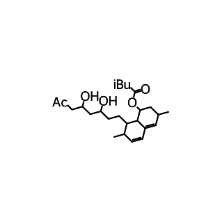 CCC(C)C(=O)OC1CC(C)C=C2C=CC(C)C(CCC(O)CC(O)CC(C)=O)C21